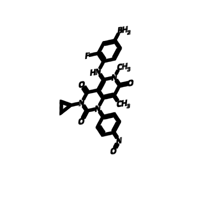 Bc1ccc(Nc2c3c(=O)n(C4CC4)c(=O)n(-c4ccc(N=O)cc4)c3c(C)c(=O)n2C)c(F)c1